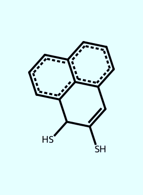 SC1=Cc2cccc3cccc(c23)C1S